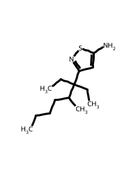 CCCCC(C)C(CC)(CC)c1cc(N)sn1